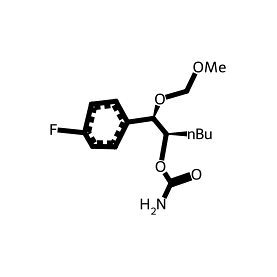 CCCC[C@@H](OC(N)=O)[C@H](OCOC)c1ccc(F)cc1